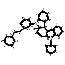 CC12C=Cc3c(c4ccccc4n3-c3ccccc3)C1c1ccccc1N2c1cccc(CCc2ccccc2)c1